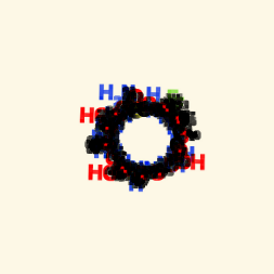 CCCCC[C@H]1C(=O)N(C)CC(=O)N[C@@H](CC(=O)O)C(=O)N[C@@H](C(C)C)C(=O)N(C)[C@@H](Cc2ccccc2)C(=O)N[C@@H](Cc2ccc(O)cc2)C(=O)N(C)CC(=O)N[C@@H](Cc2c[nH]c3ccccc23)C(=O)N[C@@H](Cc2ccc(O)cc2)C(=O)N[C@@H](CC(C)C)C(=O)N[C@H](C(=O)NCC(N)=O)CSCC(=O)N[C@@H](Cc2cc(F)c(F)c(F)c2)C(=O)N(C)[C@@H](Cc2ccccc2)C(=O)N1C